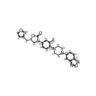 O=C1O[C@H](Cc2ccon2)CN1c1ccc(N2CCN(c3ccc4nonc4c3)CC2)c(F)c1